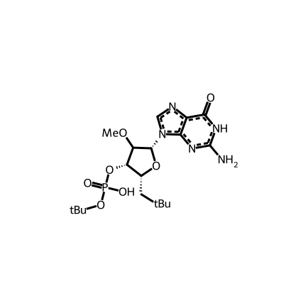 COC1[C@@H](OP(=O)(O)OC(C)(C)C)[C@@H](CC(C)(C)C)O[C@H]1n1cnc2c(=O)[nH]c(N)nc21